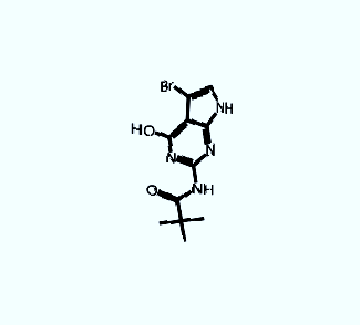 CC(C)(C)C(=O)Nc1nc(O)c2c(Br)c[nH]c2n1